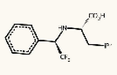 CC(C)C[C@H](N[C@H](c1ccccc1)C(F)(F)F)C(=O)O